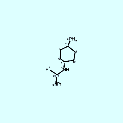 CCC[C@@H](CC)N[C@H]1CC[C@@H](P)CC1